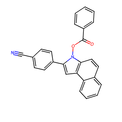 N#Cc1ccc(-c2cc3c4ccccc4ccc3n2OC(=O)c2ccccc2)cc1